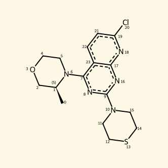 C[C@H]1COCCN1c1nc(N2CCSCC2)nc2nc(Cl)ccc12